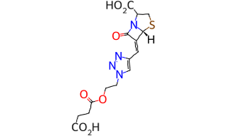 O=C(O)CCC(=O)OCCn1cc(C=C2C(=O)N3C(C(=O)O)CS[C@H]23)nn1